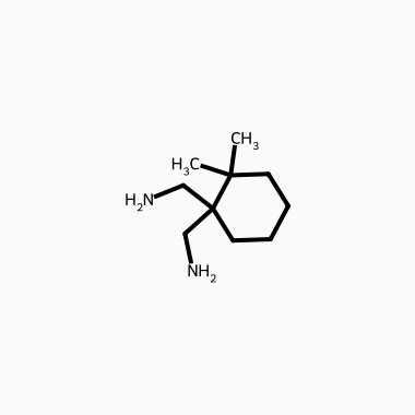 CC1(C)CCCCC1(CN)CN